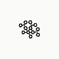 C1=CC(N(c2ccccc2)c2ccc3c(c2)c2cc(N(c4ccccc4)c4ccccc4)ccc2c2c(-c4ccccc4)cc(-c4ccccc4)c(-c4ccc(N(c5ccccc5)c5ccccc5)cc4)c32)=CCC1